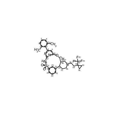 Cc1cccc(C)c1-c1cc2nc(n1)NS(=O)(=O)c1cccc(c1)C1CCN(CCC3(C(F)(F)F)CC3)C[C@@H]1CO2